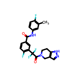 Cc1cc(NC(=O)c2ccc(F)c(C(F)(F)C(=O)N3CCc4[nH]ncc4C3)c2)ccc1F